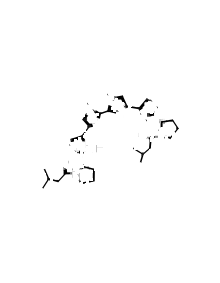 CC(C)CC(=O)N1CCC[C@H]1c1ncc(-c2cnc(-c3ncc(-c4cnc([C@@H]5CCCN5C(=O)CC(C)C)[nH]4)s3)s2)[nH]1